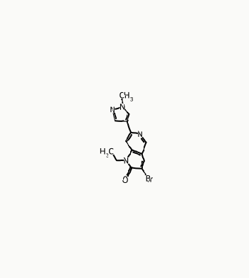 CCn1c(=O)c(Br)cc2cnc(-c3cnn(C)c3)cc21